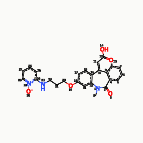 CN1C(=O)c2ccccc2/C(=C\C(=O)O)c2ccc(OCCCNc3cccc[n+]3[O-])cc21